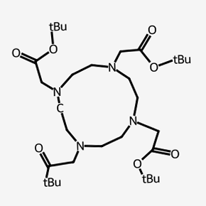 CC(C)(C)OC(=O)CN1CCN(CC(=O)OC(C)(C)C)CCN(CC(=O)C(C)(C)C)CCN(CC(=O)OC(C)(C)C)CC1